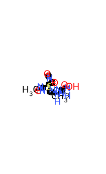 COc1ncc(C2=S(c3cccc(C(C)(C)Nc4ncc(C(=O)NO)cn4)n3)C3=COC=C(N4CCOCC4)C3=C2)cn1